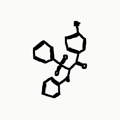 O=C(c1ccc(Br)cc1)C(Sc1ccccc1)S(=O)(=O)c1ccccc1